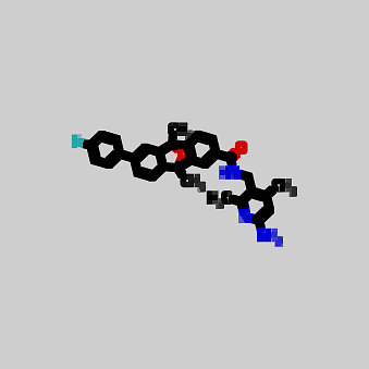 Cc1cc(N)nc(C)c1CNC(=O)c1ccc2c(c1)C1(C)OC2(C)C2C=C(c3ccc(F)cc3)C=CC21